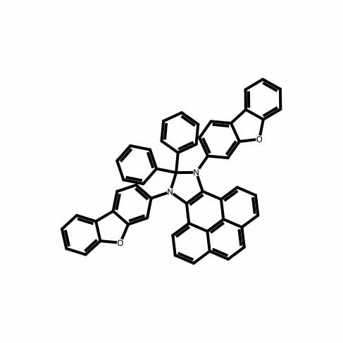 c1ccc(C2(c3ccccc3)N(c3ccc4c(c3)oc3ccccc34)c3c(c4cccc5ccc6cccc3c6c54)N2c2ccc3c(c2)oc2ccccc23)cc1